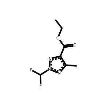 CCOC(=O)c1nn(C(F)F)nc1C